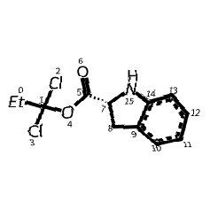 CCC(Cl)(Cl)OC(=O)[C@H]1Cc2ccccc2N1